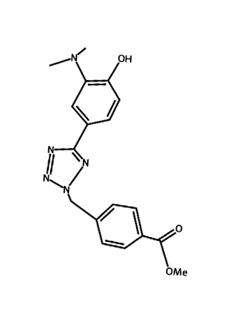 COC(=O)c1ccc(Cn2nnc(-c3ccc(O)c(N(C)C)c3)n2)cc1